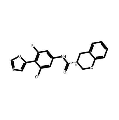 O=C(Nc1cc(F)c(-c2cnco2)c(Cl)c1)[C@H]1COc2ccccc2C1